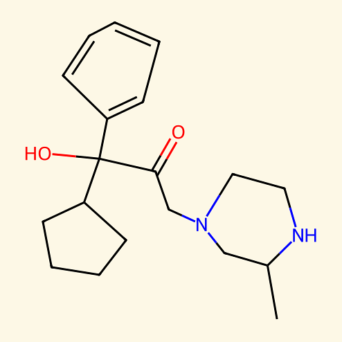 CC1CN(CC(=O)C(O)(c2ccccc2)C2CCCC2)CCN1